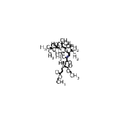 CCOC(=O)CC[C@@H](NC(=O)/C(C)=C/[C@H](C(C)C)N(C)C(O)[C@@H](NC(=O)OC(C)(C)C)C(C)(C)C)C(=O)OCC